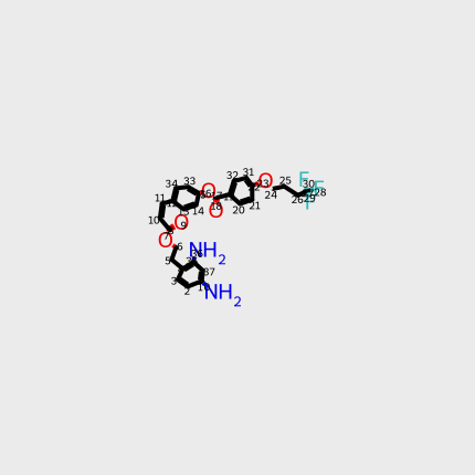 Nc1ccc(CCOC(=O)/C=C\c2ccc(OC(=O)c3ccc(OCCCC(F)(F)F)cc3)cc2)c(N)c1